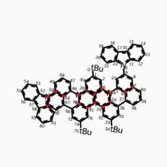 CC(C)(C)c1cc(N(c2cccc(-n3c4ccccc4c4ccccc43)c2)c2c(-c3ccccc3)cc(C(C)(C)C)cc2-c2ccccc2)cc(N(c2cccc(-n3c4ccccc4c4ccccc43)c2)c2c(-c3ccccc3)cc(C(C)(C)C)cc2-c2ccccc2)c1